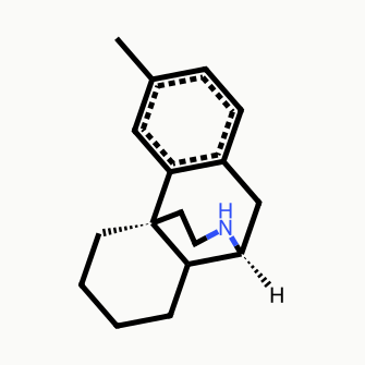 Cc1ccc2c(c1)[C@]13CCCCC1[C@H](C2)NCC3